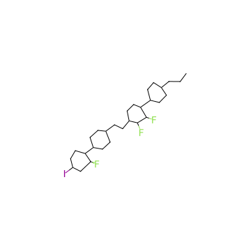 CCCC1CCC(C2CCC(CCC3CCC(C4CCC(I)C[C@@H]4F)CC3)C(F)C2F)CC1